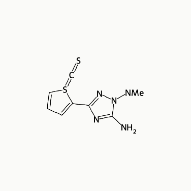 CNn1nc(C2=CC=CS2=C=S)nc1N